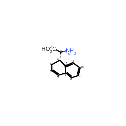 NC(C(=O)O)[C@H]1CC=Cc2ccccc21